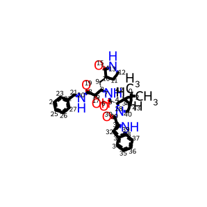 CC1(C)[C@@H]2[C@@H](C(=O)N[C@@H](C[C@@H]3CCNC3=O)C(O)C(=O)NCc3ccccc3)N(C(=O)c3cc4ccccc4[nH]3)C[C@@H]21